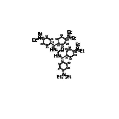 CCN(CC)c1ccc(C(NC(=O)NC(c2ccc(N(CC)CC)cc2)c2ccc(N(CC)CC)cc2)c2ccc(N(CC)CC)cc2)cc1